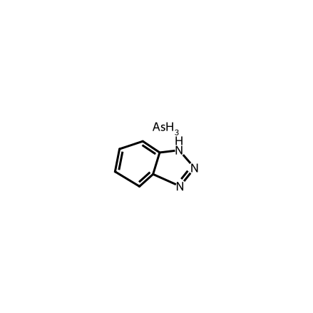 [AsH3].c1ccc2[nH]nnc2c1